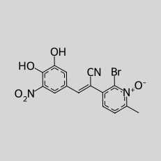 Cc1ccc(/C(C#N)=C/c2cc(O)c(O)c([N+](=O)[O-])c2)c(Br)[n+]1[O-]